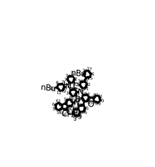 CCCCc1ccc(N(c2ccc(CCCC)cc2)c2ccc3c(c2)N(c2ccc(-c4ccccc4)cc2C)c2cc4c(oc5ccccc54)c4c2B3N(c2ccc3c(c2)C(C)(C)c2ccccc2-3)c2c-4ccc3ccccc23)cc1